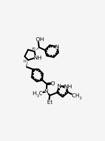 CCC(c1cc(C)[nH]n1)N(C)C(=O)c1ccc(C[C@@H]2CC[C@H](C(O)c3cccnc3)N2)cc1